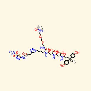 BC(=O)NCCOCCOCCNC(=O)[C@H](CCCCn1cc(CCCC(O)Nc2nnc(S(N)(=O)=O)s2)nn1)NC(=O)C[C@H](NC(=O)C[C@H](NC(=O)CCC(C)(c1ccc(O)cc1)c1ccc(O)cc1)C(=O)O)C(=O)O